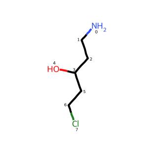 NCCC(O)CCCl